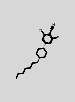 CCCCCCC[C@H]1CC[C@H](c2cc(F)c(C#N)c(Cl)c2)CC1